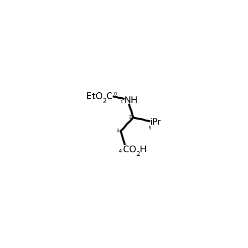 CCOC(=O)NC(CC(=O)O)C(C)C